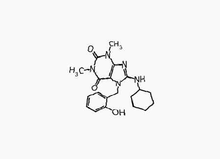 Cn1c(=O)c2c(nc(NC3CCCCC3)n2Cc2ccccc2O)n(C)c1=O